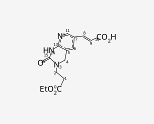 CCOC(=O)CCN1Cc2cc(C=CC(=O)O)cnc2NC1=O